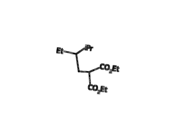 CCOC(=O)C(CC(CC)C(C)C)C(=O)OCC